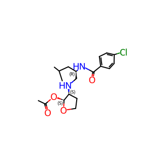 CC(=O)O[C@@H]1OCC[C@@H]1NC[C@@H](CC(C)C)NC(=O)c1ccc(Cl)cc1